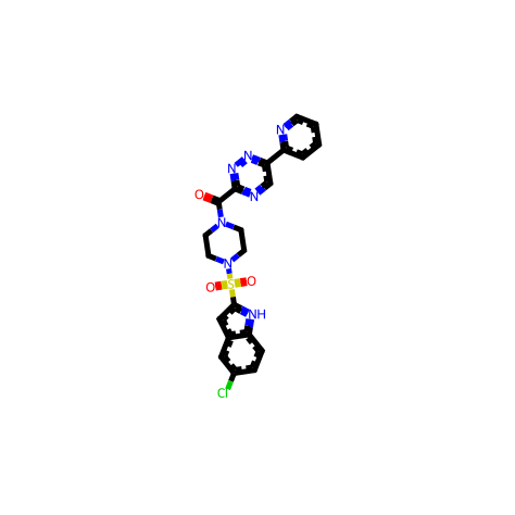 O=C(c1ncc(-c2ccccn2)nn1)N1CCN(S(=O)(=O)c2cc3cc(Cl)ccc3[nH]2)CC1